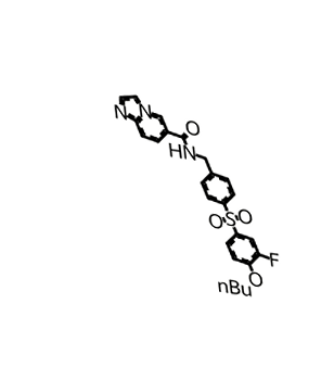 CCCCOc1ccc(S(=O)(=O)c2ccc(CNC(=O)c3ccc4nccn4c3)cc2)cc1F